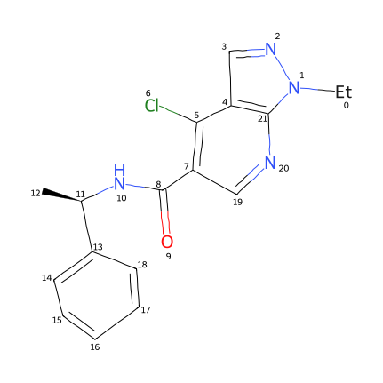 CCn1ncc2c(Cl)c(C(=O)N[C@H](C)c3ccccc3)cnc21